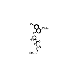 C=C[C@H](CCC(=O)OCC)NC(=O)[C@@H]1C[C@@H](Oc2ncc(OC)c3ccc(Cl)cc23)CN1